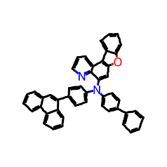 c1ccc(-c2ccc(N(c3ccc(-c4cc5ccccc5c5ccccc45)cc3)c3cc4oc5ccccc5c4c4cccnc34)cc2)cc1